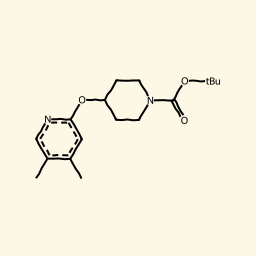 Cc1cnc(OC2CCN(C(=O)OC(C)(C)C)CC2)cc1C